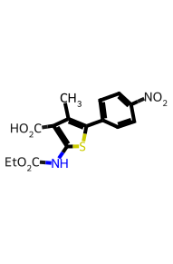 CCOC(=O)Nc1sc(-c2ccc([N+](=O)[O-])cc2)c(C)c1C(=O)O